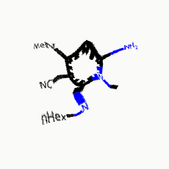 CCCCCC/N=c1\c(C#N)c(NC)cc(N)n1C